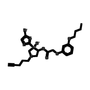 C#CCCCN1CC(OC(=O)COc2cccc(OCCCC)c2)[N+]([O-])(c2ncc(Br)s2)C1